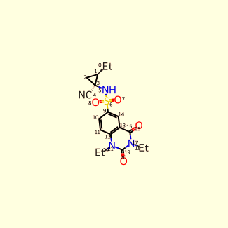 CC[C@@H]1C[C@]1(C#N)NS(=O)(=O)c1ccc2c(c1)c(=O)n(CC)c(=O)n2CC